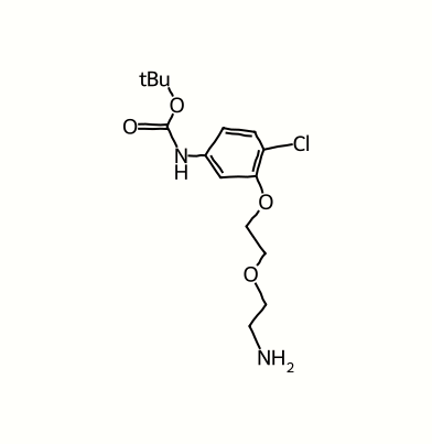 CC(C)(C)OC(=O)Nc1ccc(Cl)c(OCCOCCN)c1